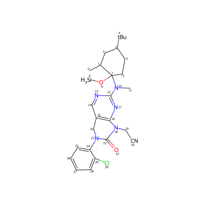 CC1CC(C(C)(C)C)CCC1(O[SiH3])N(C)c1ncc2c(n1)N(CC#N)C(=O)N(c1ccccc1Cl)C2